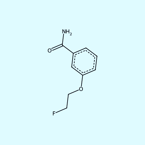 NC(=O)c1cccc(OCCF)c1